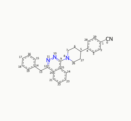 N#Cc1ccc(C2CCN(c3nnc(Cc4ccccc4)c4ccccc34)CC2)cc1